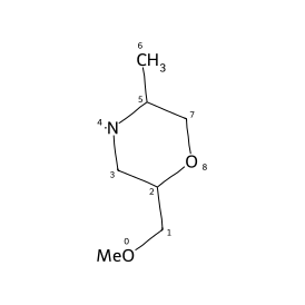 COCC1C[N]C(C)CO1